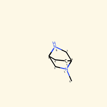 CN1CC2CCC1CN2